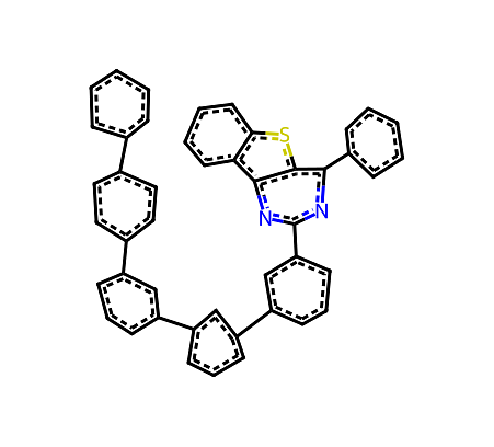 c1ccc(-c2ccc(-c3cccc(-c4cccc(-c5cccc(-c6nc(-c7ccccc7)c7sc8ccccc8c7n6)c5)c4)c3)cc2)cc1